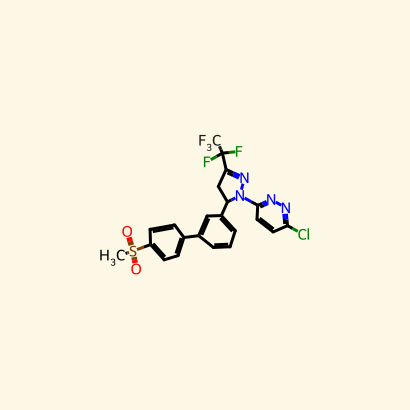 CS(=O)(=O)c1ccc(-c2cccc(C3CC(C(F)(F)C(F)(F)F)=NN3c3ccc(Cl)nn3)c2)cc1